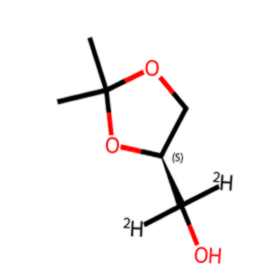 [2H]C([2H])(O)[C@@H]1COC(C)(C)O1